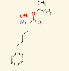 CC(C)OC(=O)C(CCCCc1ccccc1)=NO